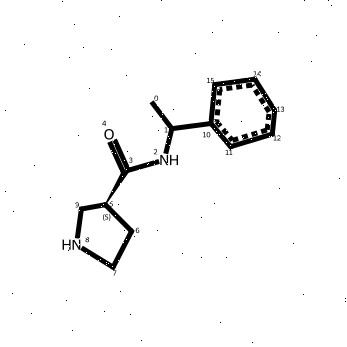 CC(NC(=O)[C@H]1CCNC1)c1ccccc1